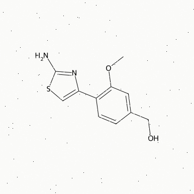 COc1cc(CO)ccc1-c1csc(N)n1